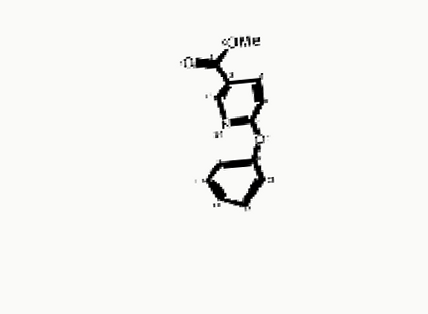 COC(=O)c1ccc(Oc2ccccc2)nc1